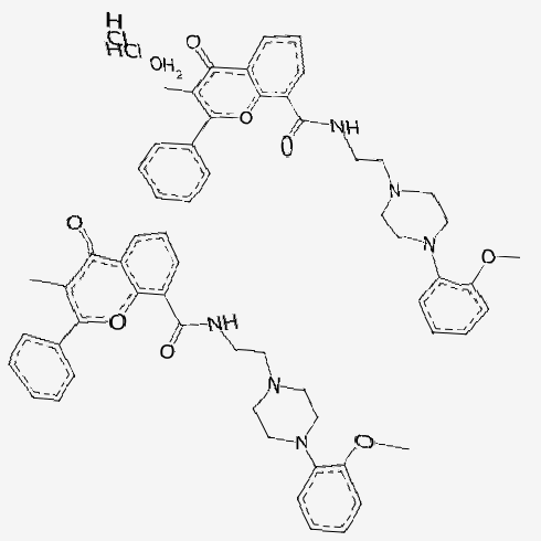 COc1ccccc1N1CCN(CCNC(=O)c2cccc3c(=O)c(C)c(-c4ccccc4)oc23)CC1.COc1ccccc1N1CCN(CCNC(=O)c2cccc3c(=O)c(C)c(-c4ccccc4)oc23)CC1.Cl.Cl.O